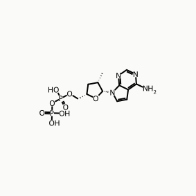 C[C@H]1C[C@@H](COP(=O)(O)OP(=O)(O)O)O[C@H]1n1ccc2c(N)ncnc21